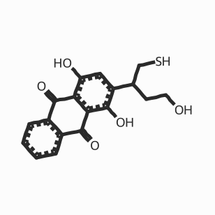 O=C1c2ccccc2C(=O)c2c(O)c(C(CS)CCO)cc(O)c21